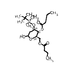 CCCC(=O)OC[C@H]1OC(O)C[C@@H](O[Si](C)(C)C(C)(C)C)[C@@H]1OC(=O)CCC